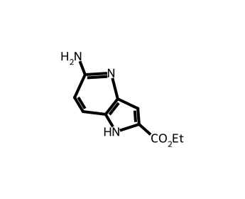 CCOC(=O)c1cc2nc(N)ccc2[nH]1